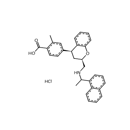 Cc1cc([C@@H]2C[C@H](CNC(C)c3cccc4ccccc34)Oc3ccccc32)ccc1C(=O)O.Cl